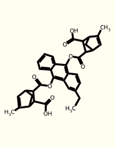 CCc1ccc2c(OC(=O)C3C4C=C(C)C(C4)C3C(=O)O)c3ccccc3c(OC(=O)C3C4C=C(C)C(C4)C3C(=O)O)c2c1